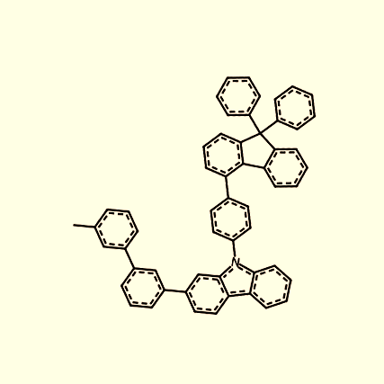 Cc1cccc(-c2cccc(-c3ccc4c5ccccc5n(-c5ccc(-c6cccc7c6-c6ccccc6C7(c6ccccc6)c6ccccc6)cc5)c4c3)c2)c1